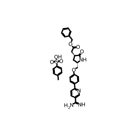 Cc1ccc(S(=O)(=O)O)cc1.N=C(N)c1ccc(-c2ccc(OC[C@@H]3C[C@@H](CC(=O)OCc4ccccc4)C(=O)N3)cc2)nc1